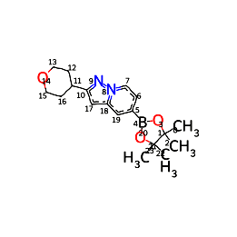 CC1(C)OB(c2ccn3nc(C4CCOCC4)cc3c2)OC1(C)C